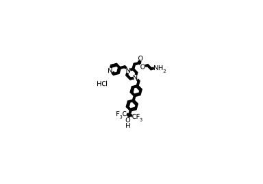 Cl.NCCOC(=O)CC1CN(Cc2ccc(-c3ccc(C(O)(C(F)(F)F)C(F)(F)F)cc3)cc2)CCN1Cc1ccncc1